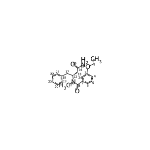 CCOc1cccc(C(=O)N(C)[C@H](CC(N)=O)Cc2ccccc2)c1